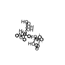 CC(C)c1c(C(=O)Nc2ccccc2)c(-c2ccccc2)c(-c2ccc(F)cc2)n1CC[C@@H](O)C[C@@H](O)CC(=O)O.CC[C@H](C)C(=O)O[C@H]1C[C@@H](C)C=C2C=C[C@H](C)[C@H](CC[C@@H]3C[C@@H](O)CC(=O)O3)[C@H]21